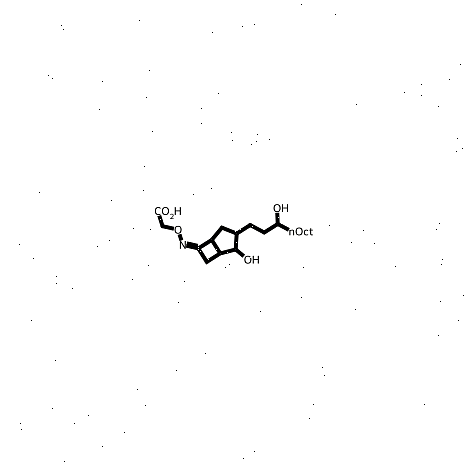 CCCCCCCCC(O)CCC1CC2/C(=N\OCC(=O)O)CC2C1O